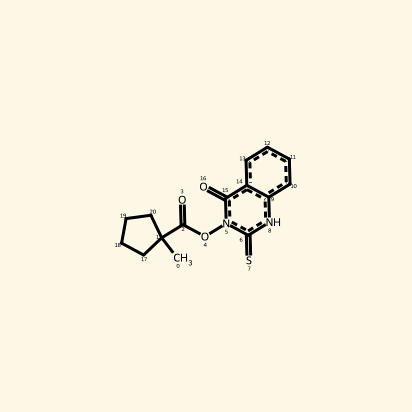 CC1(C(=O)On2c(=S)[nH]c3ccccc3c2=O)CCCC1